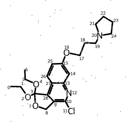 CCOC1(OCC)OCc2c(Cl)nc3cc(OCCCN4CCCC4)ccc3c21